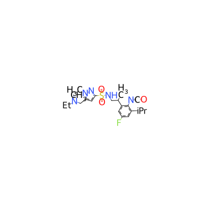 CCN(C)Cc1cc(S(=O)(=O)NCC(C)c2cc(F)cc(C(C)C)c2N=C=O)nn1C